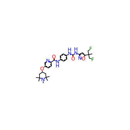 CN1C(C)(C)CC(Oc2ccc(C(=O)Nc3ccc(NC(=O)Nc4cc(C(C)(CF)CF)on4)cc3)nc2)CC1(C)C